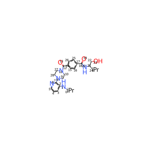 CC(C)Nc1cccnc1N1CCN(C(=O)c2ccc(C(=O)NC(CO)C(C)C)cc2)CC1